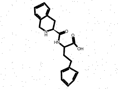 O=C(O)C(CCc1ccccc1)NC(=O)[C@@H]1Cc2ccccc2CN1